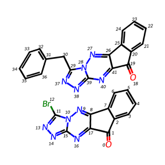 O=C1c2ccccc2-c2nn3c(Br)nnc3nc21.O=C1c2ccccc2-c2nn3c(Cc4ccccc4)nnc3nc21